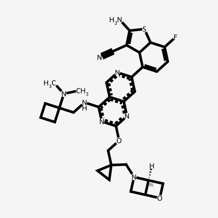 CN(C)C1(CNc2nc(OCC3(CN4CC5OC[C@@H]54)CC3)nc3cc(C4=CC=C(F)C5SC(N)=C(C#N)C45)ncc23)CCC1